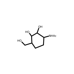 CC(=O)NC1CCC(CO)C(O)C1O